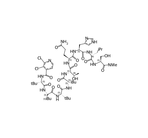 CC[C@H](C)[C@H](NC(=O)[C@@H](NC(=O)c1ccnc(Cl)c1Cl)C(C)(C)C)C(=O)N[C@H](C(=O)N[C@H](C(=O)N[C@H](C(=O)N[C@@H](CCC(N)=O)C(=O)N[C@@H](Cc1c[nH]cn1)C(=O)N[C@H](CC(C)C)C(=O)N[C@@H](CO)C(=O)NC)[C@@H](C)O)[C@@H](C)CC)C(C)(C)C